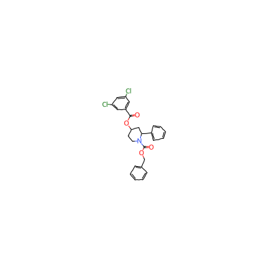 O=C(OC1CCN(C(=O)OCc2ccccc2)C(c2ccccc2)C1)c1cc(Cl)cc(Cl)c1